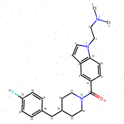 CCN(CC)CCn1ccc2cc(C(=O)N3CCC(Cc4ccc(F)cc4)CC3)ccc21